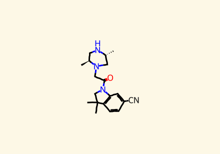 C[C@@H]1CN(CC(=O)N2CC(C)(C)c3ccc(C#N)cc32)[C@@H](C)CN1